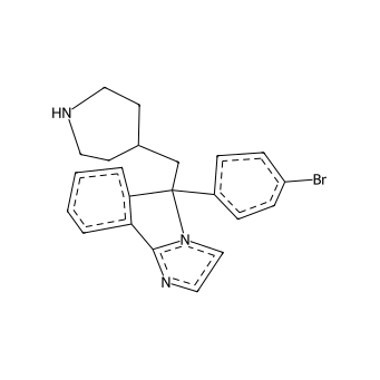 Brc1ccc(C2(CC3CCNCC3)c3ccccc3-c3nccn32)cc1